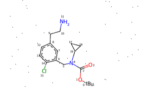 CC(C)(C)OC(=O)N(Cc1cc(CCN)ccc1Cl)C1CC1